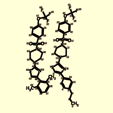 CCCc1ccc(-c2csc(N3CCN(S(=O)(=O)c4ccc(OC(F)(F)F)cc4)CC3)n2)cc1.Cc1cccc(C)c1-c1csc(N2CCN(S(=O)(=O)c3ccc(OC(F)(F)F)cc3)CC2)n1